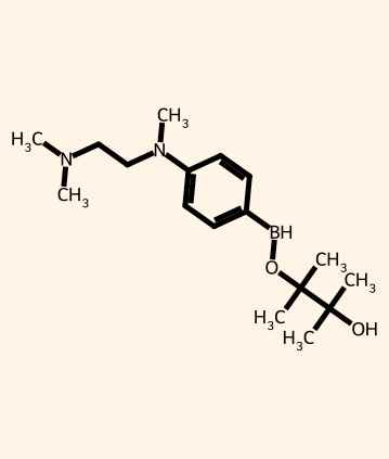 CN(C)CCN(C)c1ccc(BOC(C)(C)C(C)(C)O)cc1